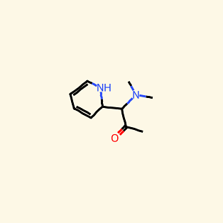 CC(=O)C(C1C=CC=CN1)N(C)C